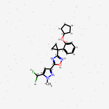 Cn1nc(-c2nc(C3(c4ccccc4OC4CCCC4)CC3)no2)cc1C(F)F